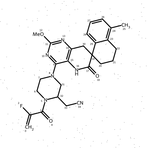 C=C(F)C(=O)N1CCN(c2nc(OC)nc3c2NC(=O)C2(CCCc4c(C)cccc42)C3)CC1CC#N